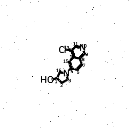 OC1CCN(c2ccc3cncc(Cl)c3c2)C1